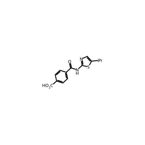 CC(C)c1cnc(NC(=O)c2ccc(C(=O)O)cc2)s1